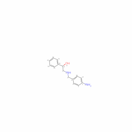 Nc1ccc(CNC[C@H](O)c2ccccc2)cc1